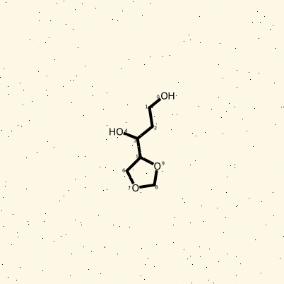 O[CH]CC(O)C1COCO1